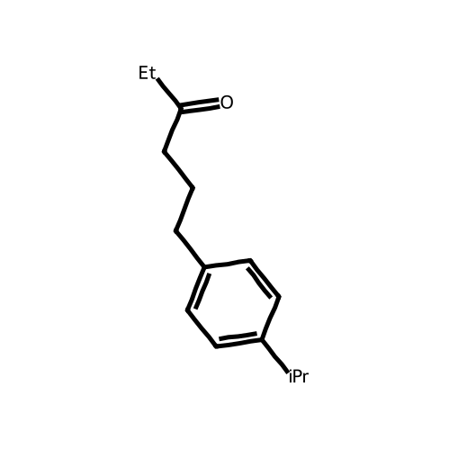 CCC(=O)CCCc1ccc(C(C)C)cc1